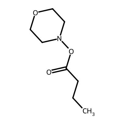 CCCC(=O)ON1CCOCC1